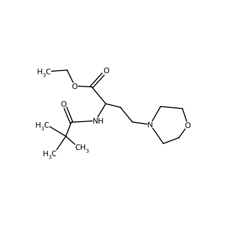 CCOC(=O)C(CCN1CCOCC1)NC(=O)C(C)(C)C